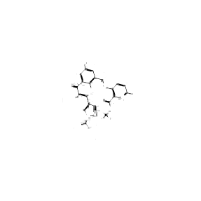 Cc1cc([C@@H](C)Nc2ccc(Cl)nc2C(=O)OC(C)(C)C)c2oc(-c3cnn(C(C)C)c3)c(C)c(=O)c2c1